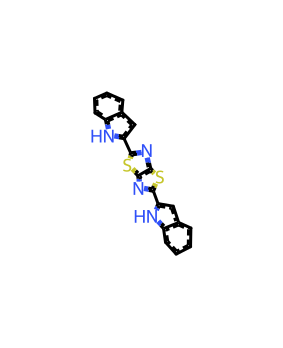 c1ccc2[nH]c(-c3nc4sc(-c5cc6ccccc6[nH]5)nc4s3)cc2c1